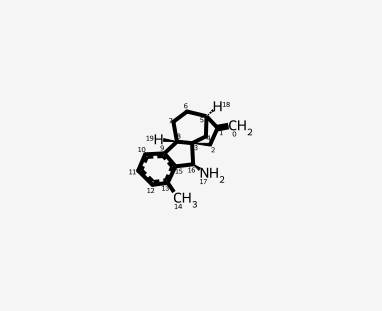 C=C1C[C@]23C[C@H]1CC[C@H]2c1cccc(C)c1[C@@H]3N